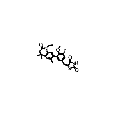 CCN1C(=O)CC(C)(C)c2cc(C)c(-c3cc(/C=C4/SC(=O)NC4=O)cc(F)c3OC)cc21